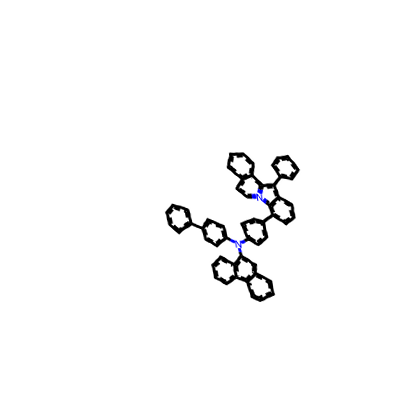 c1ccc(-c2ccc(N(c3ccc(-c4cccc5c(-c6ccccc6)c6c7ccccc7ccn6c45)cc3)c3cc4ccccc4c4ccccc34)cc2)cc1